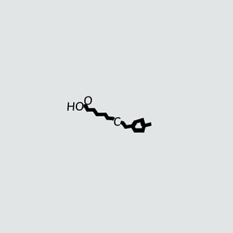 Cc1ccc(CCCCCCCCCC(=O)O)cc1